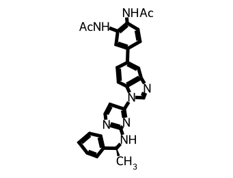 CC(=O)Nc1ccc(-c2ccc3c(c2)ncn3-c2ccnc(N[C@@H](C)c3ccccc3)n2)cc1NC(C)=O